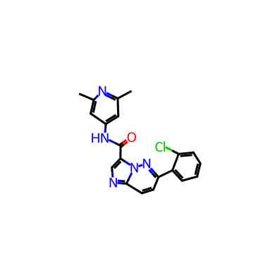 Cc1cc(NC(=O)c2cnc3ccc(-c4ccccc4Cl)nn23)cc(C)n1